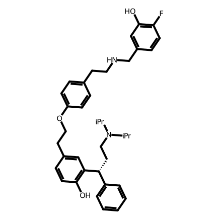 CC(C)N(CC[C@H](c1ccccc1)c1cc(CCOc2ccc(CCNCc3ccc(F)c(O)c3)cc2)ccc1O)C(C)C